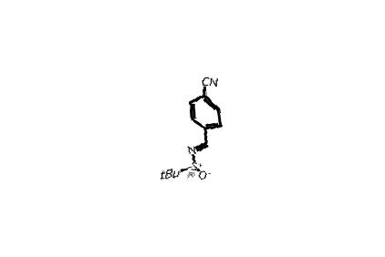 CC(C)(C)[S@+]([O-])N=Cc1ccc(C#N)cc1